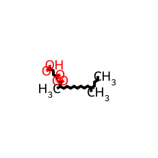 CCCCC(C)CCCCCCCCC(C)C(=O)OC(=O)CCC(=O)O